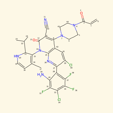 C=CC(=O)N1CCN(c2c(C#N)c(=O)n(C3=C(C)C=CNC3C(C)C)c3nc(-c4c(N)c(F)c(Cl)c(F)c4F)c(Cl)cc23)CC1